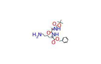 C[C@H](NC(=O)OC(C)(C)C)C(=O)N[C@@H](CCCCN)C(=O)OCc1ccccc1